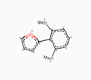 COc1c[c]cc(OC)c1-c1ccco1